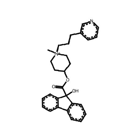 C[N+]1(CCCc2cccnc2)CCC(OC(=O)C2(O)c3ccccc3-c3ccccc32)CC1